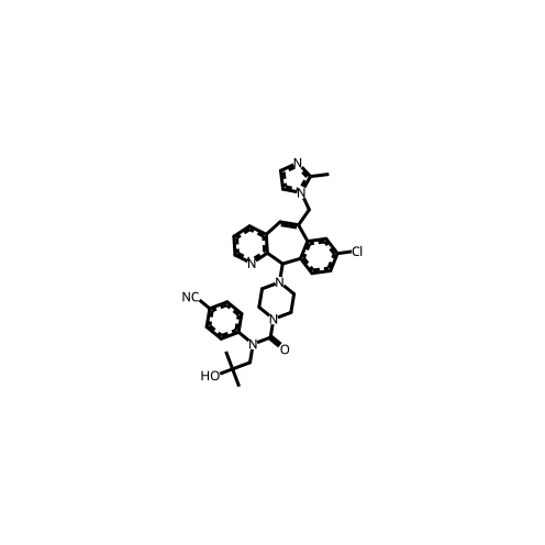 Cc1nccn1CC1=Cc2cccnc2C(N2CCN(C(=O)N(CC(C)(C)O)c3ccc(C#N)cc3)CC2)c2ccc(Cl)cc21